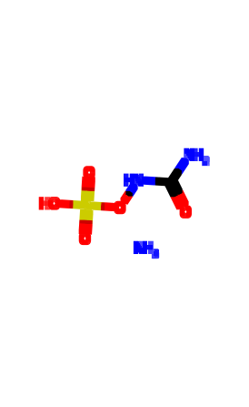 N.NC(=O)NOS(=O)(=O)O